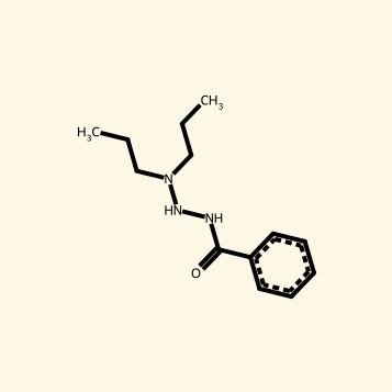 CCCN(CCC)NNC(=O)c1ccccc1